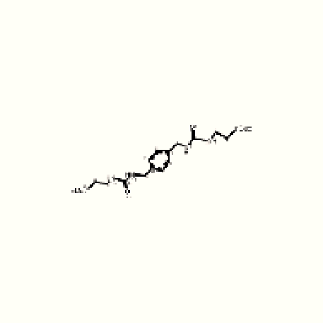 CCCCCCCCCCCCNC(=O)NCc1ccc(CNC(=O)NCCCCCCCCCCCC)cc1